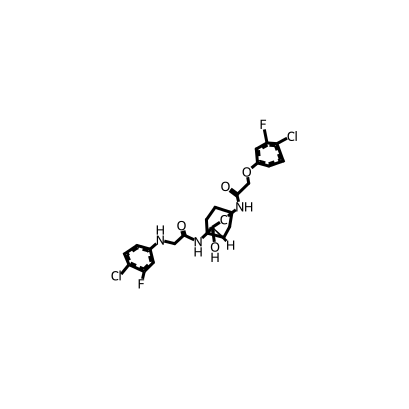 O=C(COc1ccc(Cl)c(F)c1)NC12CCC(NC(=O)CNc3ccc(Cl)c(F)c3)(CC1)[C@@H](O)C2